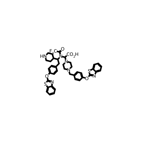 O=C(O)C(N1CCN(Cc2ccc(Oc3nc4ccccc4s3)cc2)CC1)N(C(=O)C(F)(F)F)C(Cc1ccc(Oc2nc3ccccc3s2)cc1)C1CCNCC1